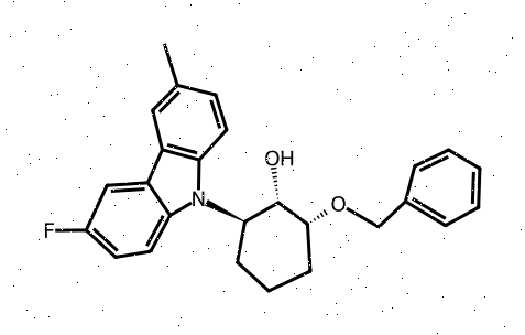 Cc1ccc2c(c1)c1cc(F)ccc1n2[C@@H]1CCC[C@@H](OCc2ccccc2)[C@H]1O